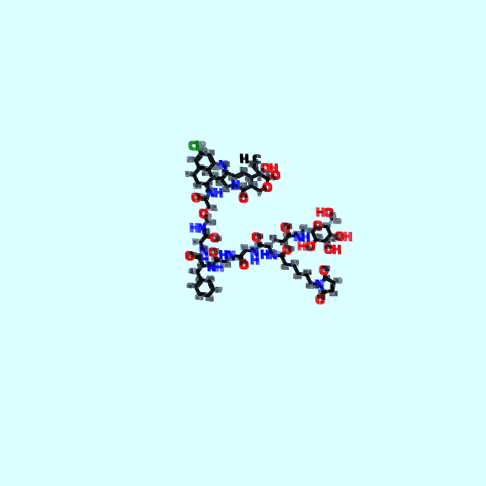 CC[C@@]1(O)C(=O)OCc2c1cc1n(c2=O)Cc2c-1nc1cc(Cl)cc3c1c2[C@@H](NC(=O)COCNC(=O)CNC(=O)[C@H](Cc1ccccc1)NC(=O)CNC(=O)CNC(=O)[C@H](CCC(=O)NC[C@@H]1O[C@H](CO)[C@@H](O)[C@H](O)[C@H]1O)NC(=O)CCCCCN1C(=O)C=CC1=O)CC3